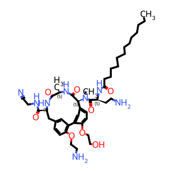 CCCCCCCCCCCCCC(=O)N[C@@H](CCN)C(=O)N(C)[C@@H]1C(=O)N[C@@H](C)C(=O)N[C@H](C(=O)NCC#N)Cc2ccc(OCCN)c(c2)-c2cc1ccc2OCCO